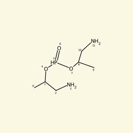 CC(CN)O[PH](=O)OC(C)CN